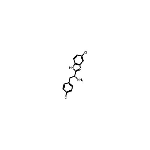 N[C@@H](Cc1ccc(Cl)cc1)c1nc2cc(Cl)ccc2[nH]1